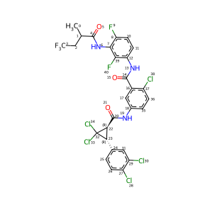 CC(CC(F)(F)F)C(=O)Nc1c(F)ccc(NC(=O)c2cc(NC(=O)[C@H]3[C@H](c4ccc(Cl)c(Cl)c4)C3(Cl)Cl)ccc2Cl)c1F